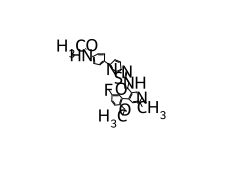 COc1ccc(F)cc1-c1cc(C)ncc1C(=O)Nc1nc2ccc(-c3ccc(NC(C)=O)cc3)nc2s1